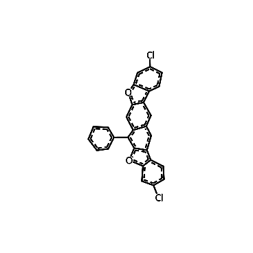 Clc1ccc2c(c1)oc1cc3c(-c4ccccc4)c4oc5cc(Cl)ccc5c4cc3cc12